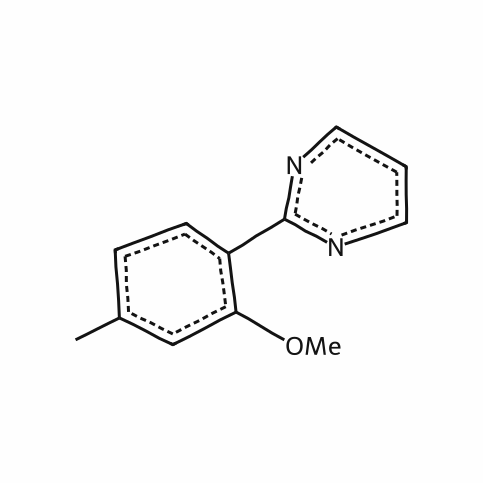 COc1cc(C)ccc1-c1ncccn1